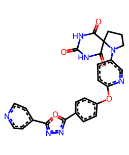 O=C1NC(=O)C2(CCCN2c2ccc(Oc3ccc(-c4nnc(-c5ccncc5)o4)cc3)nc2)C(=O)N1